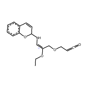 CCO/C(=C/NC1C=Cc2ccccc2O1)COCC=C=O